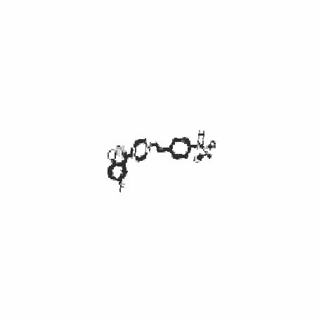 CS(=O)(=O)NC1CCC(CCN2CCN(c3noc4ccc(F)cc34)CC2)CC1